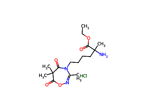 CCOC(=O)C(C)(N)CCCCN1C(=O)C(C)(C)C(=O)ON=C1C.Cl